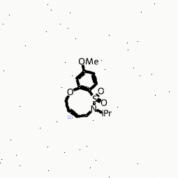 COc1ccc2c(c1)OC/C=C\CN(C(C)C)S2(=O)=O